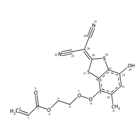 C=CC(=O)OCCOOc1c(C)cc(O)c2c1SC(=C(C#N)C#N)S2